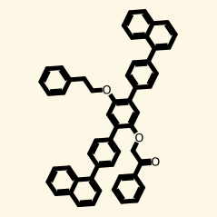 O=C(COc1cc(-c2ccc(-c3cccc4ccccc34)cc2)c(OCCc2ccccc2)cc1-c1ccc(-c2cccc3ccccc23)cc1)c1ccccc1